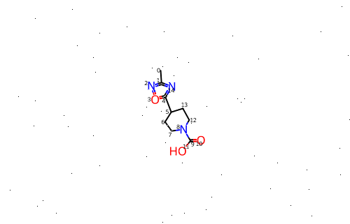 Cc1noc(C2CCN(C(=O)O)CC2)n1